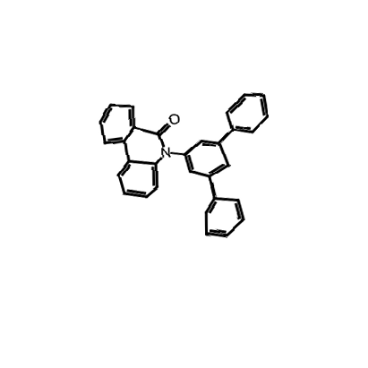 O=c1c2ccccc2c2ccccc2n1-c1cc(-c2ccccc2)cc(-c2ccccc2)c1